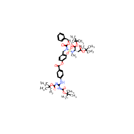 CN([C@@H](CC(=O)OC(C)(C)C)C(=O)OC(C)(C)C)S(=O)(=O)N(Cc1ccc(OC(=O)c2ccc(NC(=NC(=O)OC(C)(C)C)NC(=O)OC(C)(C)C)cc2)cc1)C(=O)OCc1ccccc1